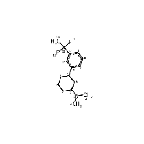 CN(C)C1CCCC(c2cccc(C(C)(F)F)c2)C1